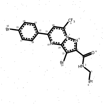 CC(C)CNC(=O)c1nn2c(C(F)(F)F)cc(-c3ccc(Br)cc3)nc2c1Br